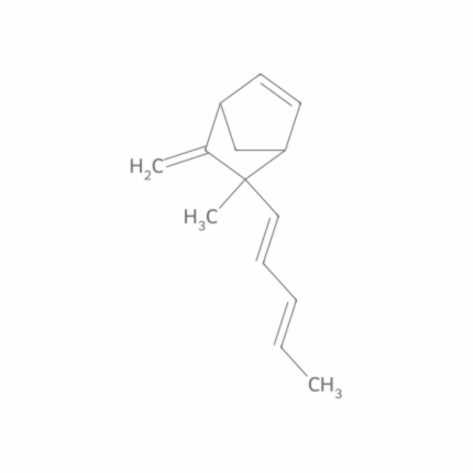 C=C1C2C=CC(C2)C1(C)C=CC=CC